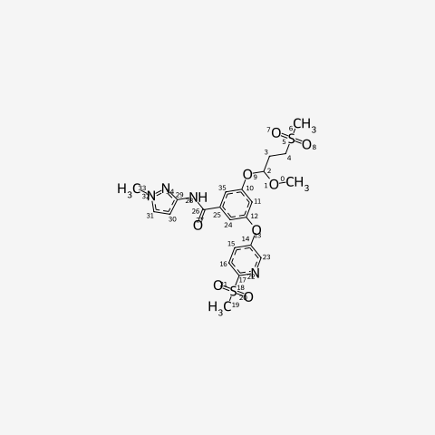 COC(CCS(C)(=O)=O)Oc1cc(Oc2ccc(S(C)(=O)=O)nc2)cc(C(=O)Nc2ccn(C)n2)c1